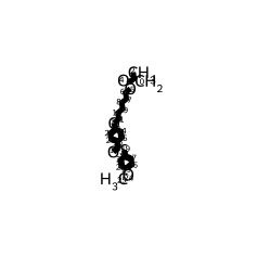 C=C(C)C(=O)OCCCCCCOc1ccc(C(=O)Sc2ccc(OC)cc2)cc1